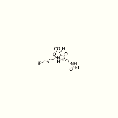 CCC(=O)NCCNC(=O)[C@H](CCC(=O)O)NC(=O)CCSCC(C)C